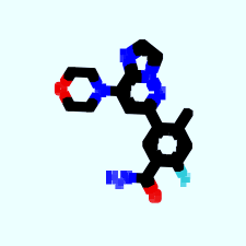 Cc1cc(F)c(C(N)=O)cc1-c1cc(N2CCOCC2)c2nccn2n1